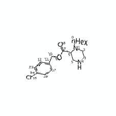 [CH2]CCCCCN1CCNCC1C(=O)OCc1ccc(Cl)cc1